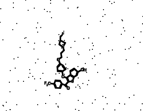 O=C(c1ccc(C(F)(F)F)cc1)c1sc2cc(O)ccc2c1Oc1ccc(OCCCN2CC(CF)C2)cc1